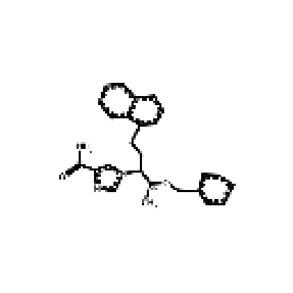 C[C@H](OCc1ccccc1)C(CCc1cccc2ccccc12)n1cnc(C(N)=O)c1